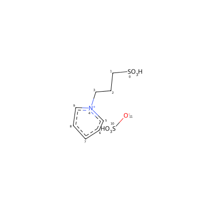 O=S(=O)(O)CCC[n+]1ccccc1.O=S(=O)([O-])O